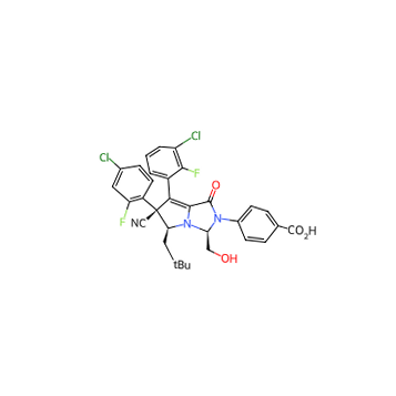 CC(C)(C)C[C@@H]1N2C(=C(c3cccc(Cl)c3F)[C@@]1(C#N)c1ccc(Cl)cc1F)C(=O)N(c1ccc(C(=O)O)cc1)[C@H]2CO